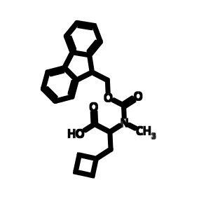 CN(C(=O)OCC1c2ccccc2-c2ccccc21)C(CC1CCC1)C(=O)O